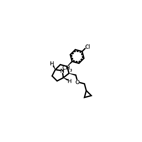 CN1[C@@H]2CC[C@H]1[C@H](COCC1CC1)[C@H](c1ccc(Cl)cc1)C2